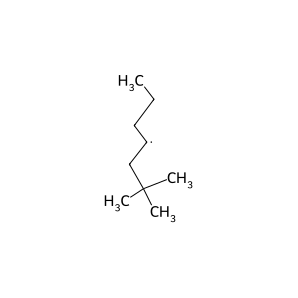 CCC[CH]CC(C)(C)C